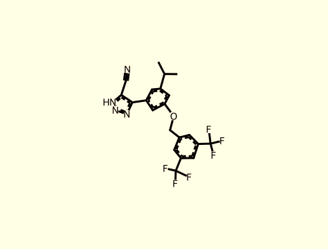 CC(C)c1cc(OCc2cc(C(F)(F)F)cc(C(F)(F)F)c2)cc(-c2nn[nH]c2C#N)c1